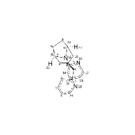 c1ccc(C[C@H]2C[C@H]3CC[C@@H](C2)N3c2ccccn2)nc1